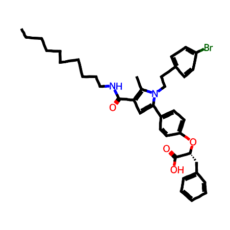 CCCCCCCCCCNC(=O)c1cc(-c2ccc(O[C@H](Cc3ccccc3)C(=O)O)cc2)n(CCc2ccc(Br)cc2)c1C